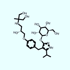 CC(C)c1[nH]nc(O[C@@H]2O[C@H](CO)[C@@H](O)[C@H](O)[C@H]2O)c1Cc1ccc(OC[C@H](O)CNC(C)(CO)CO)cc1